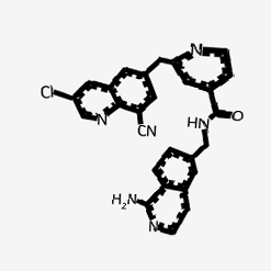 N#Cc1cc(Cc2cc(C(=O)NCc3ccc4c(N)nccc4c3)ccn2)cc2cc(Cl)cnc12